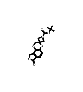 CC(C)(C)OC(=O)N1CC2(COc3c(ccc4c3COC4=O)O2)C1